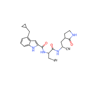 CC(C)CC(NC(=O)c1cc2c(CC3CC3)cccc2[nH]1)C(=O)NC(C#N)CC1CCNC1=O